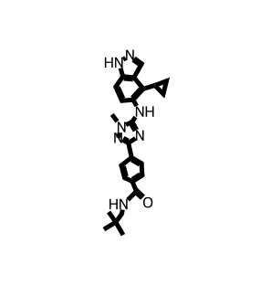 Cn1nc(-c2ccc(C(=O)NCC(C)(C)C)cc2)nc1Nc1ccc2[nH]ncc2c1C1CC1